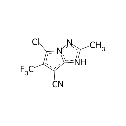 Cc1nn2c(Cl)c(C(F)(F)F)c(C#N)c2[nH]1